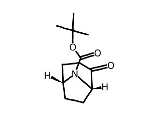 CC(C)(C)OC(=O)N1[C@H]2CCC(=O)[C@@H]1CC2